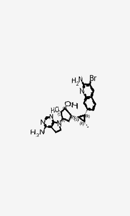 C[C@H]1[C@@H](c2ccc3cc(Br)c(N)nc3c2)[C@H]1[C@H]1C[C@@H](N2CCc3c(N)ncnc32)[C@H](O)[C@@H]1O